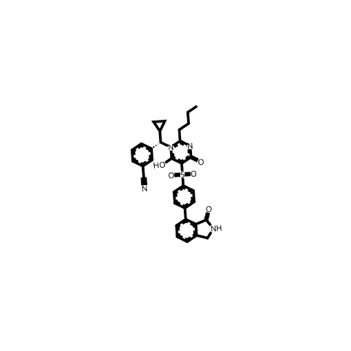 CCCCc1nc(=O)c(S(=O)(=O)c2ccc(-c3cccc4c3C(=O)NC4)cc2)c(O)n1[C@H](c1cccc(C#N)c1)C1CC1